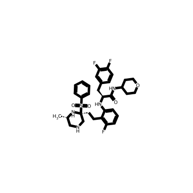 C[C@H]1CNC[C@](CCc2c(F)cccc2N[C@@H](Cc2ccc(F)c(F)c2)C(=O)NC2CCOCC2)(S(=O)(=O)c2ccccc2)N1